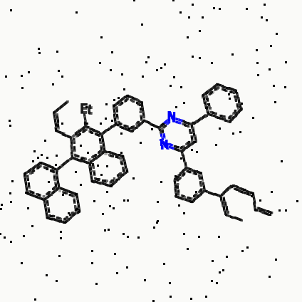 C=C/C=C\C(=C/C)c1cccc(-c2cc(-c3ccccc3)nc(-c3cccc(-c4c(CC)c(/C=C\C)c(-c5cccc6ccccc56)c5ccccc45)c3)n2)c1